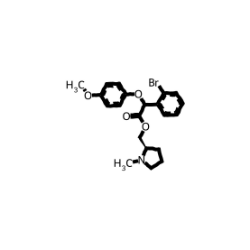 COc1ccc(OC(C(=O)OC[C@H]2CCCN2C)c2ccccc2Br)cc1